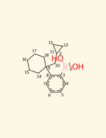 OB(O)c1ccccc1C1(CC2CC2)CCCCC1